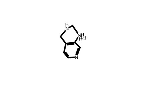 Cl.c1cc2c(cn1)NCNC2